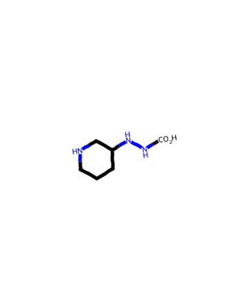 O=C(O)NNC1CCCNC1